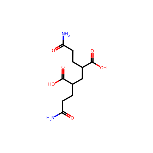 NC(=O)CCC(CC(CCC(N)=O)C(=O)O)C(=O)O